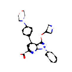 O=C(O)c1cc(-c2ccc(N3CCOCC3)cc2)c2c(OC3CNC3)nn(-c3ccccc3)c2n1